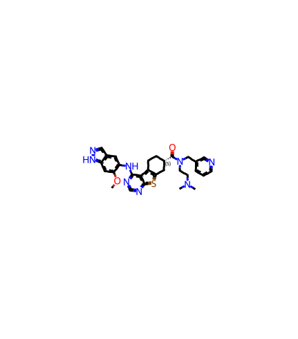 COc1cc2[nH]ncc2cc1Nc1ncnc2sc3c(c12)CC[C@H](C(=O)N(CCN(C)C)Cc1cccnc1)C3